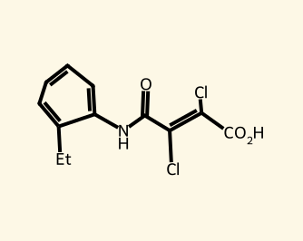 CCc1ccccc1NC(=O)C(Cl)=C(Cl)C(=O)O